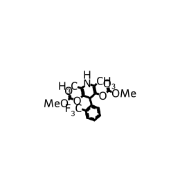 COC(=O)OC1=C(C)NC(C)=C(OC(=O)OC)C1c1ccccc1C(F)(F)F